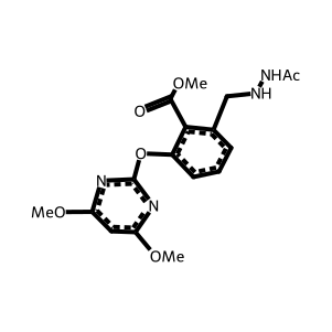 COC(=O)c1c(CNNC(C)=O)cccc1Oc1nc(OC)cc(OC)n1